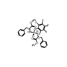 CC(C)OC(=O)[C@H](Cc1ccccc1)NP(=O)(N[C@@H](Cc1ccccc1)C(=O)OC(C)C)Oc1c(F)c(F)c(F)c(F)c1F